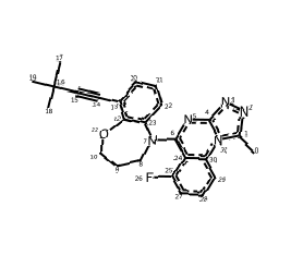 Cc1nnc2nc(N3CCCOc4c(C#CC(C)(C)C)cccc43)c3c(F)cccc3n12